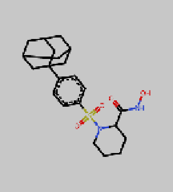 O=C(NO)C1CCCCN1S(=O)(=O)c1ccc(C23CC4CC(CC(C4)C2)C3)cc1